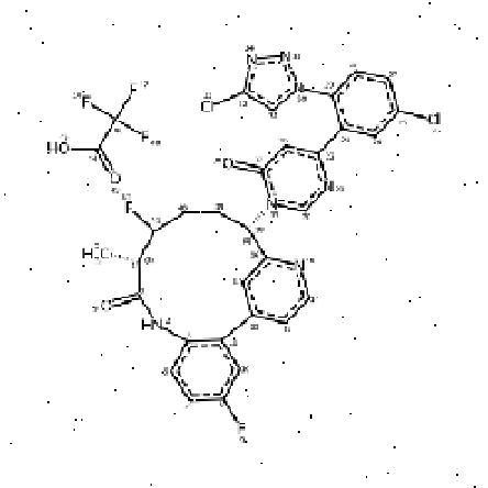 C[C@H]1C(=O)Nc2ccc(F)cc2-c2ccnc(c2)[C@@H](n2cnc(-c3cc(Cl)ccc3-n3cc(Cl)nn3)cc2=O)CCC1F.O=C(O)C(F)(F)F